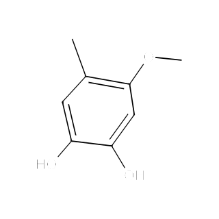 COc1[c]c(O)c(O)cc1C